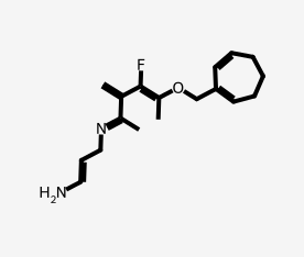 C=C(/C(F)=C(\C)OCC1=CCCCC=C1)/C(C)=N/C/C=C/N